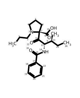 CCCN1CCC[C@]1(C(=O)O)C(=O)[C@@H](NC(=O)c1ccccc1)[C@@H](C)CC